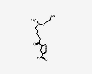 CCC(=O)C1CCC(C(=O)CCCCN(C)OCCC(C)(C)C)C1